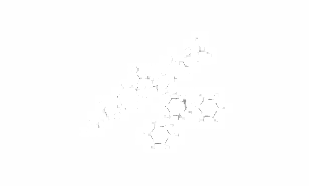 CCOC(=O)ON1CCN(C(=O)[C@H](CCCC(=O)OC(C)(C)C)NC(=O)c2cc(-c3ccccc3)nc(-c3ccccc3)n2)CC1